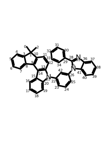 CC1(C)c2ccccc2-c2c1ccc1c2c2ccccc2n1-c1cccc(-n2c(-c3ccccc3)nc3ccccc32)c1